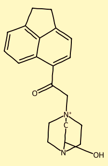 O=C(C[N+]12CCN(CC1)C(O)C2)c1ccc2c3c(cccc13)CC2